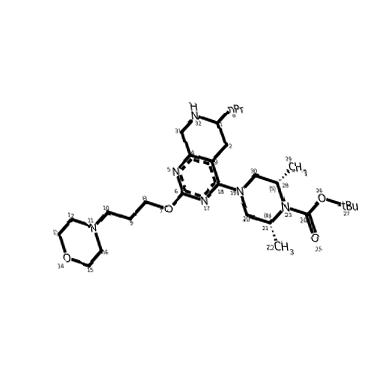 CCCC1Cc2c(nc(OCCCN3CCOCC3)nc2N2C[C@@H](C)N(C(=O)OC(C)(C)C)[C@@H](C)C2)CN1